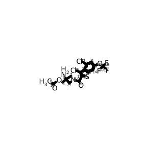 CC(=O)OCC1(N)CN(C(=O)c2sc3cc(OC(F)(F)F)cc(Cl)c3c2Cl)C1